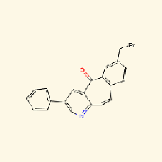 CC(C)Cc1ccc2ccc3ncc(-c4ccccc4)cc3c(=O)c2c1